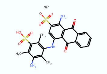 Cc1c(N)c(C)c(S(=O)(=O)O)c(C)c1Nc1cc(S(=O)(=O)[O-])c(N)c2c1C(=O)c1ccccc1C2=O.[Na+]